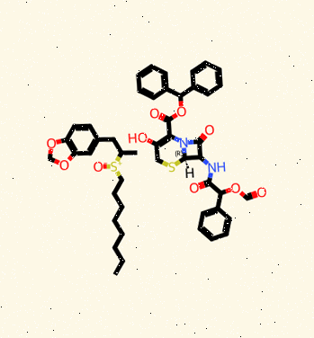 CCCCCCCC[S+]([O-])C(C)Cc1ccc2c(c1)OCO2.O=COC(C(=O)NC1C(=O)N2C(C(=O)OC(c3ccccc3)c3ccccc3)=C(O)CS[C@H]12)c1ccccc1